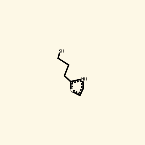 SCCCc1ncc[nH]1